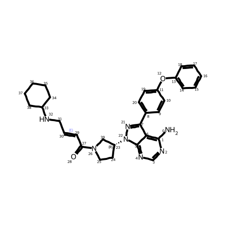 Nc1ncnc2c1c(-c1ccc(Oc3ccccc3)cc1)nn2[C@@H]1CCN(C(=O)/C=C/CNC2CCCCC2)C1